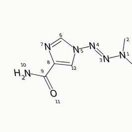 CN(C)N=Nn1cnc(C(N)=O)c1